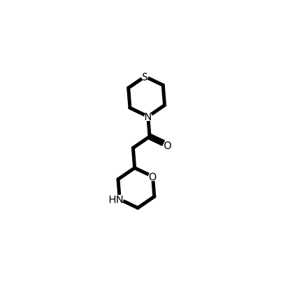 O=C(CC1CNCCO1)N1CCSCC1